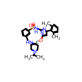 Cc1cccc(C)c1-c1cc2nc(n1)NS(=O)(=O)c1cccc(c1)CNC1(CCN(C(C)C)CC1)CO2